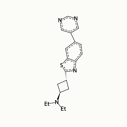 CCN(CC)[C@H]1C[C@H](c2nc3ccc(-c4cncnc4)cc3s2)C1